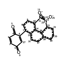 O=C1C=CC(=O)C(c2ccc([N+](=O)[O-])c3c2ccc2cccc([N+](=O)[O-])c23)=C1